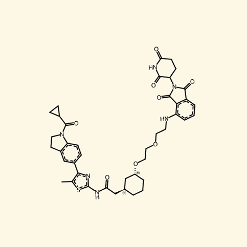 Cc1sc(NC(=O)C[C@@H]2CCC[C@@H](OCCOCCNc3cccc4c3C(=O)N(C3CCC(=O)NC3=O)C4=O)C2)nc1-c1ccc2c(c1)CCN2C(=O)C1CC1